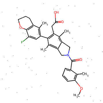 COc1cccc(C(=O)N2Cc3c(C)c(CC(=O)O)c(-c4cc(F)c5c(c4C)CCCO5)c(C)c3C2)c1C